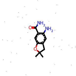 CC1(C)Cc2cc(N)c(C(N)=O)cc2O1